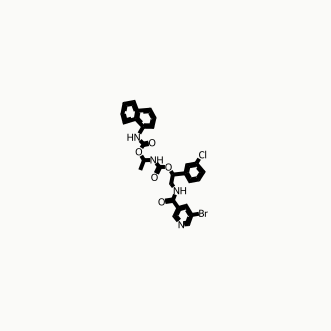 CC(NC(=O)OC(CNC(=O)c1cncc(Br)c1)c1cccc(Cl)c1)OC(=O)Nc1cccc2ccccc12